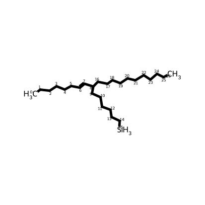 CCCCCCC=CC(CCCCCC[SiH3])CCCCCCCCCCC